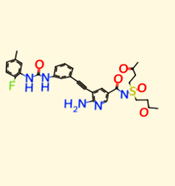 CC(=O)CCS(=O)(CCC(C)=O)=NC(=O)c1cnc(N)c(C#Cc2cccc(NC(=O)Nc3cc(C)ccc3F)c2)c1